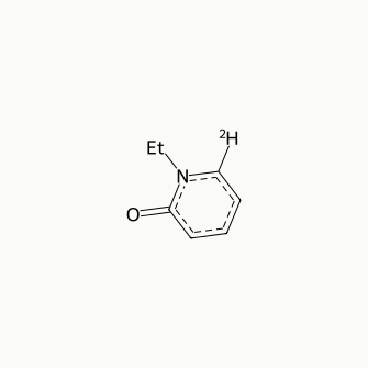 [2H]c1cccc(=O)n1CC